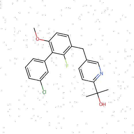 COc1ccc(Cc2ccc(C(C)(C)O)nc2)c(F)c1-c1cccc(Cl)c1